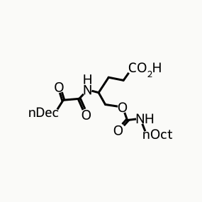 CCCCCCCCCCC(=O)C(=O)NC(CCC(=O)O)COC(=O)NCCCCCCCC